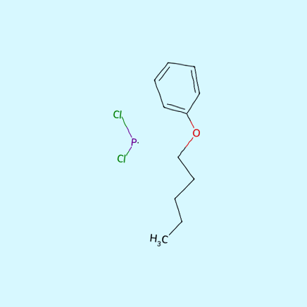 CCCCCOc1ccccc1.Cl[P]Cl